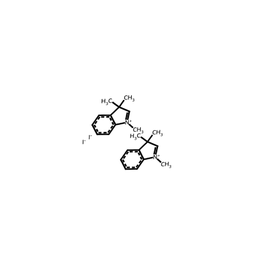 C[N+]1=CC(C)(C)c2ccccc21.C[N+]1=CC(C)(C)c2ccccc21.[I-].[I-]